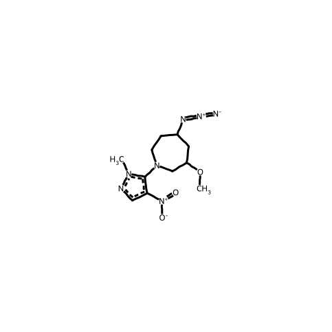 COC1CC(N=[N+]=[N-])CCN(c2c([N+](=O)[O-])cnn2C)C1